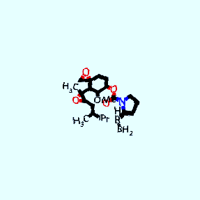 BBC1CCCN1C(=O)OC1CCC2(CO2)C(C2(C)OC2CC(C)C(C)C)C1OC